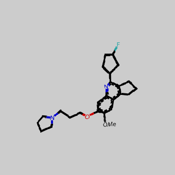 COc1cc2c3c(c(C4CCC(F)C4)nc2cc1OCCCN1CCCC1)CCC3